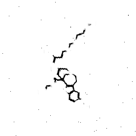 CCOC(=O)C12C[C@H](CC(C)CCOCOCCOC)CN(CCc3c1[nH]c1ccc(OC)cc31)C2C